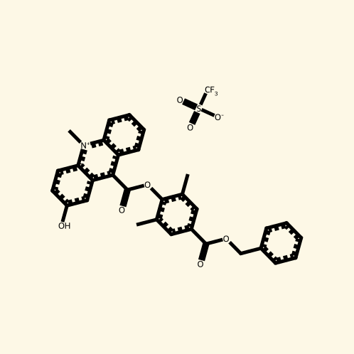 Cc1cc(C(=O)OCc2ccccc2)cc(C)c1OC(=O)c1c2ccccc2[n+](C)c2ccc(O)cc12.O=S(=O)([O-])C(F)(F)F